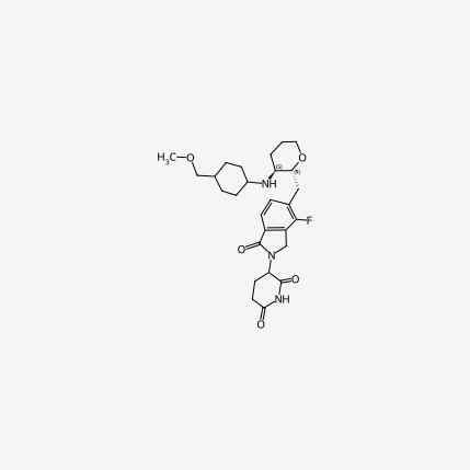 COCC1CCC(N[C@H]2CCCO[C@@H]2Cc2ccc3c(c2F)CN(C2CCC(=O)NC2=O)C3=O)CC1